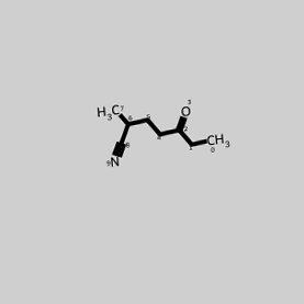 CCC(=O)CCC(C)C#N